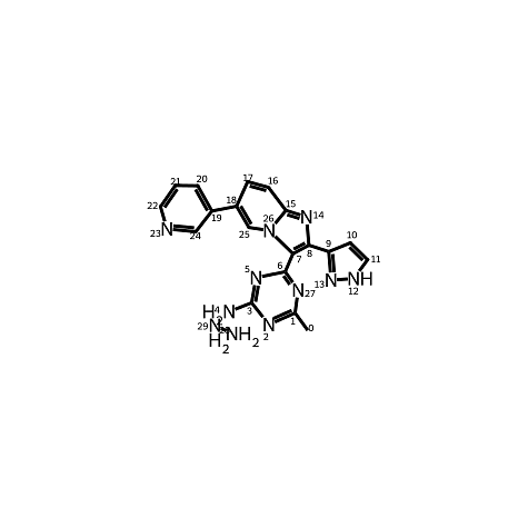 Cc1nc(N)nc(-c2c(-c3cc[nH]n3)nc3ccc(-c4cccnc4)cn23)n1.NN